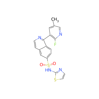 Cc1cnc(F)c(-c2nccc3cc(S(=O)(=O)Nc4nccs4)ccc23)c1